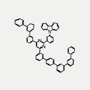 C1=C(c2cccc(-c3cc(-c4cccc(-c5ccc(-c6cccc(-c7cccc(-c8ccccc8)c7)c6)cc5)c4)nc(-c4cccc(-n5c6ccccc6c6ccccc65)c4)n3)c2)C=C(c2ccccc2)CC1